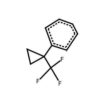 FC(F)(F)C1(c2[c]cccc2)CC1